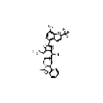 COc1ccc(-c2nc(C(=O)N3CCN(C(C)=O)C(c4ccccc4)C3)c(CN)o2)c2ccc(C(F)(F)F)nc12